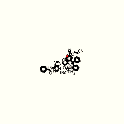 CC(C)(C)[Si](C)(C)O[C@@H]1[C@H](NC(c2ccccc2)(c2ccccc2)c2ccccc2)[C@@H](CO[PH](=O)OCCC#N)O[C@H]1n1cnc2c(NC(=O)c3ccccc3)ncnc21